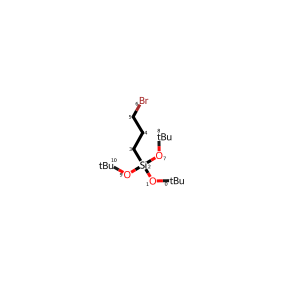 CC(C)(C)O[Si](CCCBr)(OC(C)(C)C)OC(C)(C)C